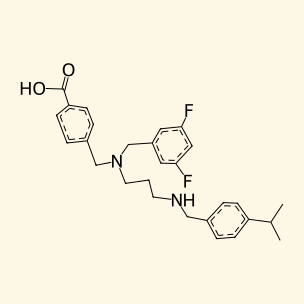 CC(C)c1ccc(CNCCCN(Cc2ccc(C(=O)O)cc2)Cc2cc(F)cc(F)c2)cc1